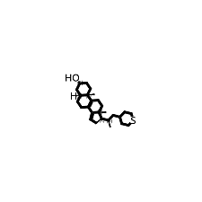 C[C@H](CC1CCSCC1)[C@H]1CC=C2C3=C(CC[C@@]21C)[C@@]1(C)CC[C@H](O)C[C@@H]1CC3